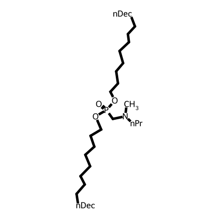 CCCCCCCCCCCCCCCCCCOP(=O)(CN(C)CCC)OCCCCCCCCCCCCCCCCCC